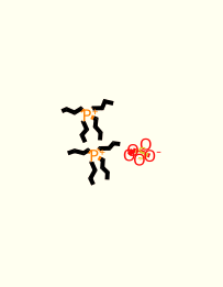 CCCC[P+](CCCC)(CCCC)CCCC.CCCC[P+](CCCC)(CCCC)CCCC.O=S(=O)([O-])O[O-]